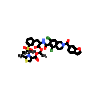 CC(OC(=O)C(Cc1cccc(S(C)(=O)=O)c1)NC(=O)c1c(Cl)cc2c(c1Cl)CCN(C(=O)c1ccc3ccoc3c1)C2)OC(=O)C1CSC(C)N1C(=O)O